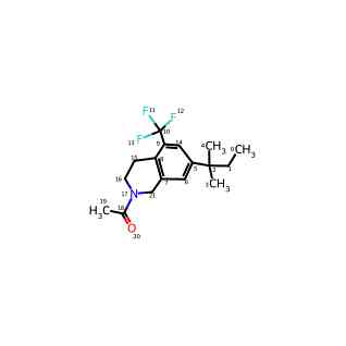 CCC(C)(C)c1cc2c(c(C(F)(F)F)c1)CCN(C(C)=O)C2